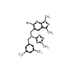 Cc1nn(C)c2nc(C(C)C)c(CN(Cc3cc(C(F)(F)F)cc(C(F)(F)F)c3)c3nnn(C)n3)cc12